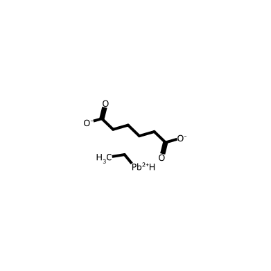 C[CH2][PbH+2].O=C([O-])CCCCC(=O)[O-]